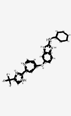 FC(F)(F)c1c[nH]c(-c2cc(Oc3ccc4nc(NC5CCCCC5)sc4c3)ccn2)n1